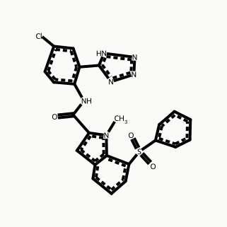 Cn1c(C(=O)Nc2ccc(Cl)cc2-c2nnn[nH]2)cc2cccc(S(=O)(=O)c3ccccc3)c21